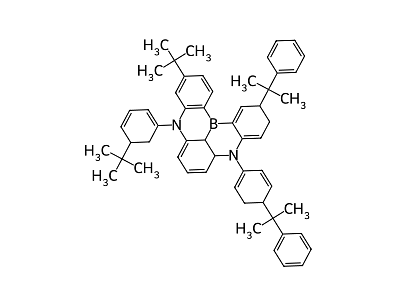 CC(C)(C)c1ccc2c(c1)N(C1=CC=CC(C(C)(C)C)C1)C1=CC=CC3C1B2C1=CC(C(C)(C)c2ccccc2)CC=C1N3C1=CCC(C(C)(C)c2ccccc2)C=C1